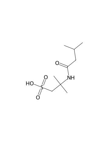 CC(C)CC(=O)NC(C)(C)CS(=O)(=O)O